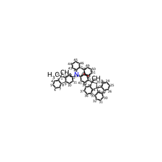 CC1(C)c2ccccc2-c2ccc(N(c3ccc(C4(C)CC(c5ccccc5)(c5ccccc5)c5ccccc54)cc3)c3ccccc3-c3ccccc3)cc21